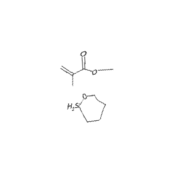 C1CC[SiH2]OC1.C=C(C)C(=O)OC